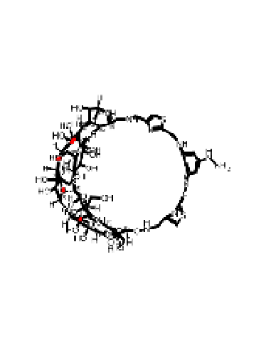 NNc1cc2cc(c1)NCc1nc(cs1)CNC[C@H]1O[C@@H]3O[C@H]4C(O)C(O)[C@H](O[C@@H]4CO)O[C@H]4C(O)C(O)[C@H](O[C@@H]4CO)O[C@H]4C(O)C(O)[C@H](O[C@@H]4CO)O[C@H]4C(O)C(O)[C@H](O[C@@H]4CNCc4csc(n4)CN2)O[C@H]2C(O)C(O)[C@H](O[C@@H]2CO)O[C@H]2C(O)C(O)[C@H](O[C@@H]2CO)O[C@H]1C(O)C3O